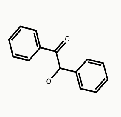 [O]C(C(=O)c1ccccc1)c1ccccc1